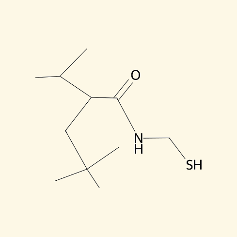 CC(C)C(CC(C)(C)C)C(=O)NCS